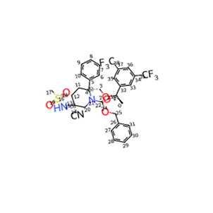 C[C@@H](OC[C@@]1(c2ccccc2)CC[C@](C#N)(NS(C)(=O)=O)CN1C(=O)OCc1ccccc1)c1cc(C(F)(F)F)cc(C(F)(F)F)c1